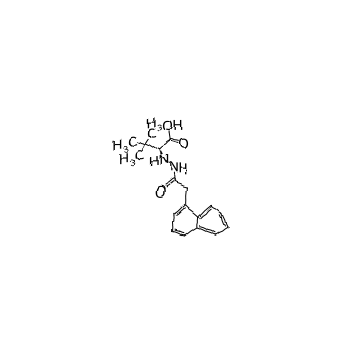 CC(C)(C)[C@H](NNC(=O)Cc1cccc2ccccc12)C(=O)O